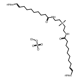 CCCCCCC=CCCCCCCCC(=O)NCC[N+](C)(C)CCNC(=O)CCCCCCCC=CCCCCCC.CCOS(=O)(=O)[O-]